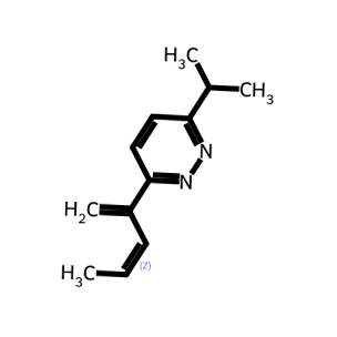 C=C(/C=C\C)c1ccc(C(C)C)nn1